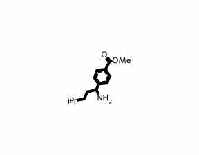 COC(=O)c1ccc(C(N)CCC(C)C)cc1